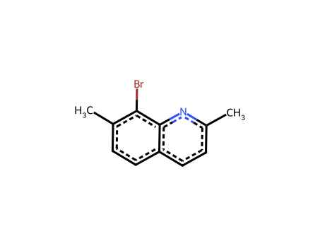 Cc1ccc2ccc(C)c(Br)c2n1